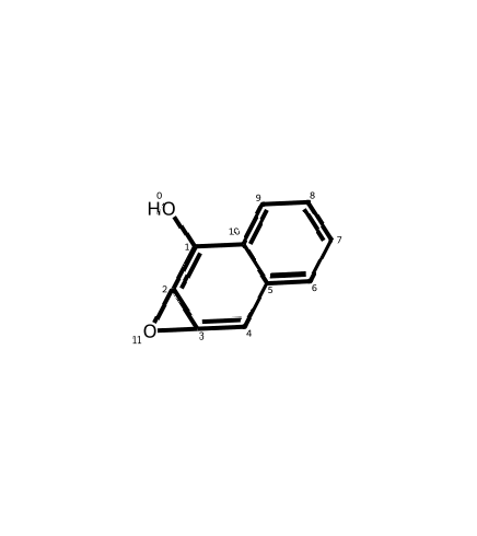 Oc1c2c(cc3ccccc13)O2